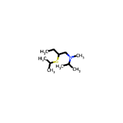 CCC(CN(C)C(C)C)SC(C)C